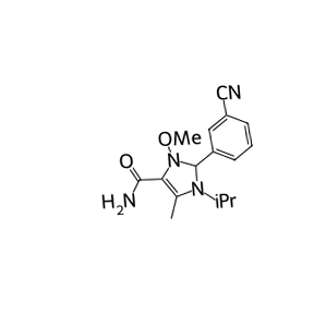 CON1C(C(N)=O)=C(C)N(C(C)C)C1c1cccc(C#N)c1